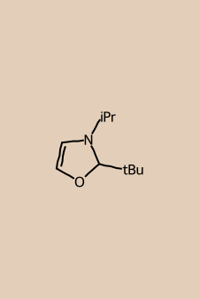 CC(C)N1C=COC1C(C)(C)C